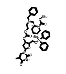 Cc1cn(C2CC(OC(=O)OCCN(Cc3ccccc3)C[C@@H]3CCCCN3C(=O)OC(C)(C)C)C(CO[Si](c3ccccc3)(c3ccccc3)C(C)(C)C)O2)c(=O)[nH]c1=O